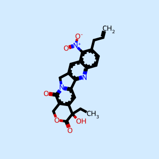 C=CCc1ccc2nc3c(cc2c1[N+](=O)[O-])Cn1c-3cc2c(c1=O)COC(=O)C2(O)CC